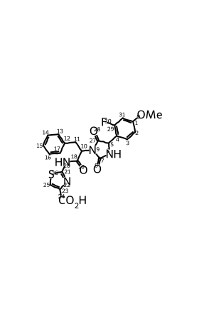 COc1ccc(C2NC(=O)N(C(Cc3ccccc3)C(=O)Nc3nc(C(=O)O)cs3)C2=O)c(F)c1